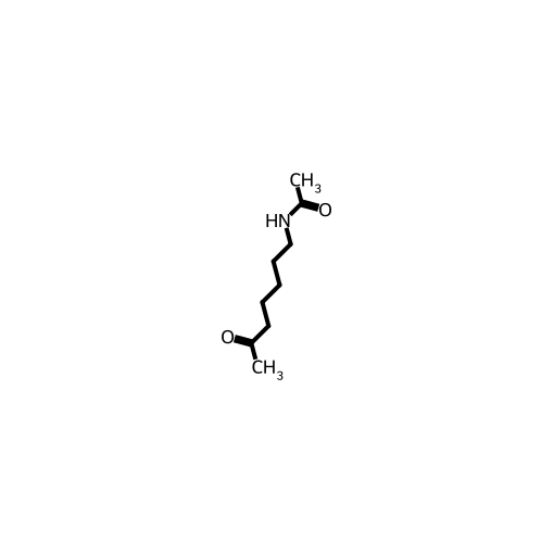 CC(=O)CCCCCNC(C)=O